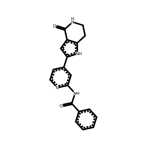 O=C(Nc1cc(-c2cc3c([nH]2)CCNC3=O)ccn1)c1ccccc1